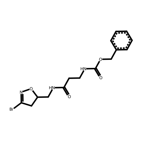 O=C(CCNC(=O)OCc1ccccc1)NCC1CC(Br)=NO1